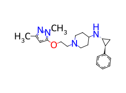 Cc1cc(OCCN2CCC(N[C@@H]3C[C@H]3c3ccccc3)CC2)n(C)n1